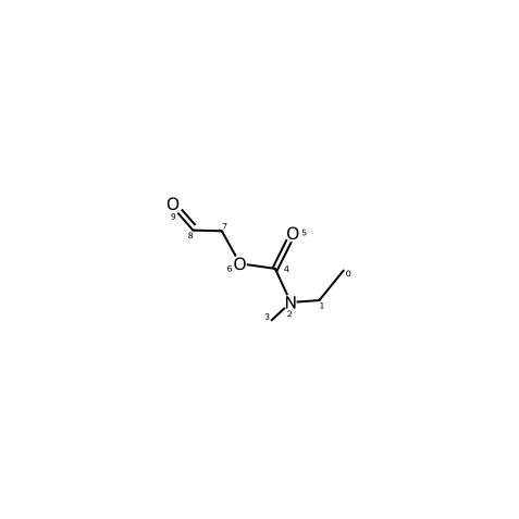 CCN(C)C(=O)OCC=O